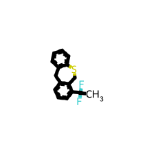 CC(F)(F)c1cccc2c1CSc1ccccc1C2